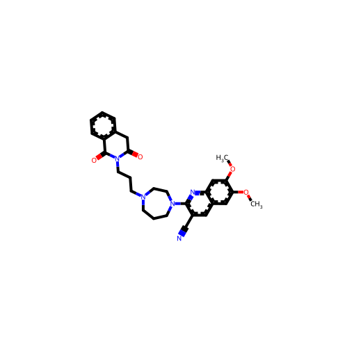 COc1cc2cc(C#N)c(N3CCCN(CCCN4C(=O)Cc5ccccc5C4=O)CC3)nc2cc1OC